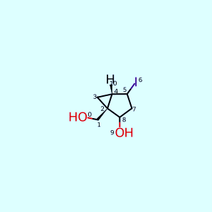 OC[C@@]12C[C@@H]1C(I)CC2O